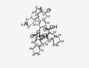 CN1CCC(=C2c3ccccc3CC(=O)c3sccc32)CC1.O=C(O)c1cc2ccccc2c(Cc2c(O)c(C(=O)O)cc3ccccc23)c1O